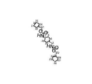 O=C(NCc1ccc(NC(=O)OCc2ccccc2)cc1)OCc1ccccc1